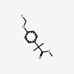 COC(=O)C(C)(C)c1ccc(OCF)cc1